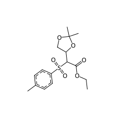 CCOC(=O)C(C1COC(C)(C)O1)S(=O)(=O)c1ccc(C)cc1